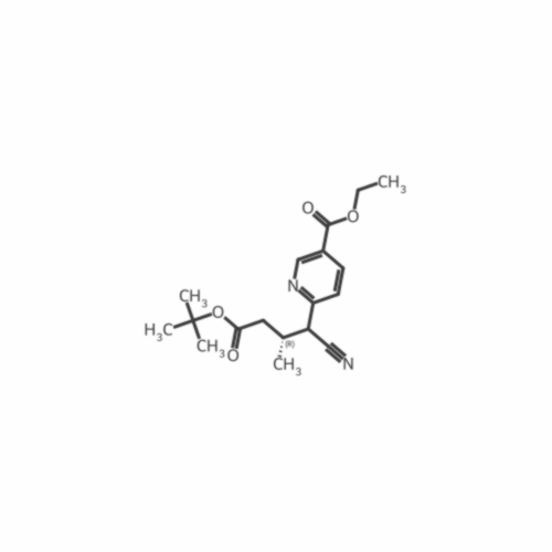 CCOC(=O)c1ccc(C(C#N)[C@H](C)CC(=O)OC(C)(C)C)nc1